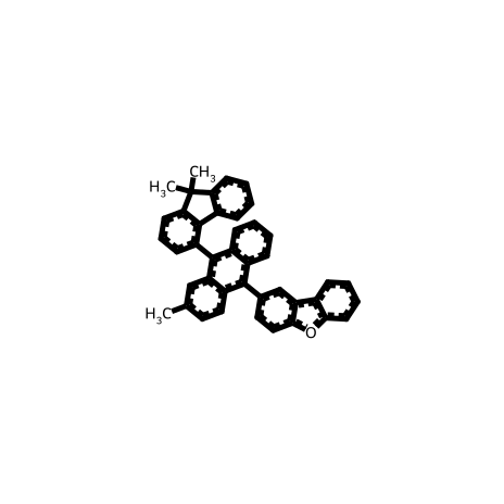 Cc1ccc2c(-c3ccc4oc5ccccc5c4c3)c3ccccc3c(-c3cccc4c3-c3ccccc3C4(C)C)c2c1